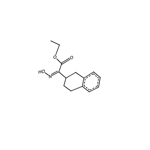 CCOC(=O)C(=NO)C1CCc2ccccc2C1